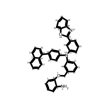 Nc1ccccc1OCc1cccc(N(c2ccc(-c3cccc4ccccc34)cc2)c2cccc(-c3nc4ccccc4o3)c2)c1